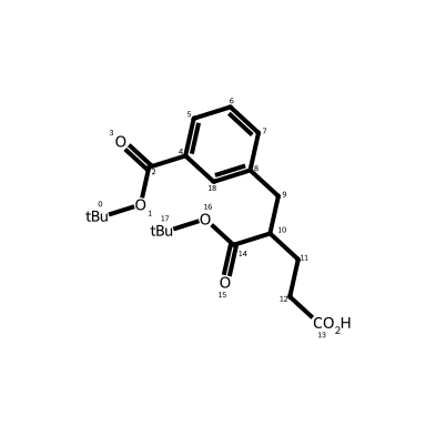 CC(C)(C)OC(=O)c1cccc(CC(CCC(=O)O)C(=O)OC(C)(C)C)c1